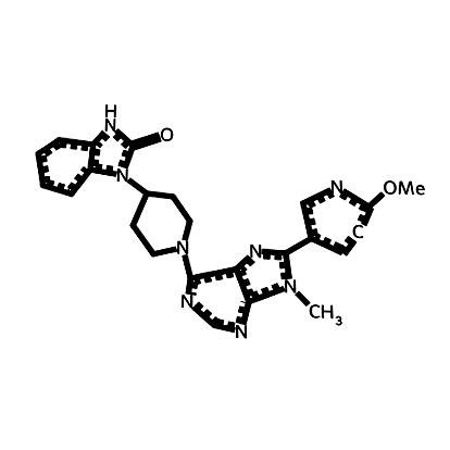 COc1ccc(-c2nc3c(N4CCC(n5c(=O)[nH]c6ccccc65)CC4)ncnc3n2C)cn1